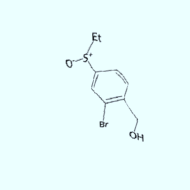 CC[S+]([O-])c1ccc(CO)c(Br)c1